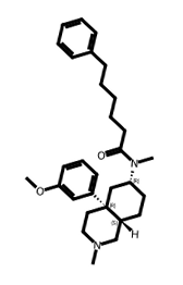 COc1cccc([C@@]23CCN(C)C[C@H]2CC[C@@H](N(C)C(=O)CCCCCc2ccccc2)C3)c1